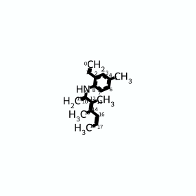 C=Cc1cc(C)ccc1NC(=C)/C(C)=C(C)/C=C\C